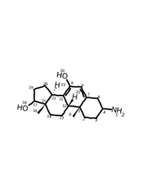 C[C@]12CCC(N)CC1=CC(O)=C1[C@H]2CC[C@]2(C)C(O)CC[C@@H]12